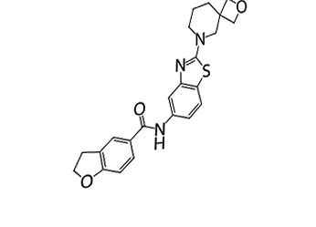 O=C(Nc1ccc2sc(N3CCCC4(COC4)C3)nc2c1)c1ccc2c(c1)CCO2